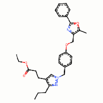 CCCc1nn(Cc2ccc(OCc3nc(-c4ccccc4)oc3C)cc2)cc1CCC(=O)OCC